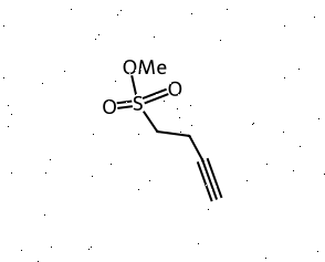 C#CCCS(=O)(=O)OC